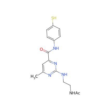 CC(=O)NCCNc1nc(C)cc(C(=O)Nc2ccc(S)cc2)n1